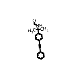 CC(C)(NC=O)c1ccc(C#Cc2ccccc2)cc1